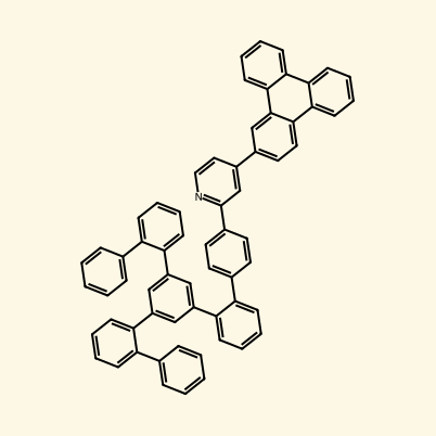 c1ccc(-c2ccccc2-c2cc(-c3ccccc3-c3ccccc3)cc(-c3ccccc3-c3ccc(-c4cc(-c5ccc6c7ccccc7c7ccccc7c6c5)ccn4)cc3)c2)cc1